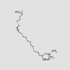 CCCCCCCCCC(CCCCCCCCCC/C=C\CCCCCC(=O)O)CN(C)C